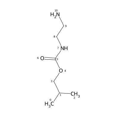 CC(C)COC(=O)NCCN